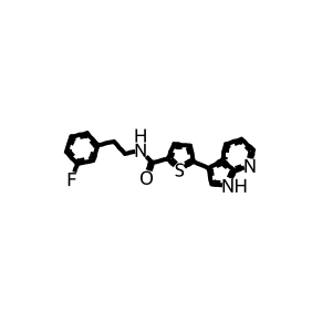 O=C(NCCc1cccc(F)c1)c1ccc(-c2c[nH]c3ncccc23)s1